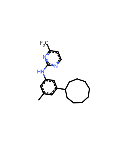 Cc1cc(Nc2nccc(C(F)(F)F)n2)cc(C2CCCCCCCC2)c1